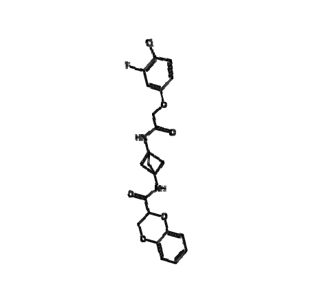 O=C(COc1ccc(Cl)c(F)c1)NC12CC(NC(=O)C3COc4ccccc4O3)(C1)C2